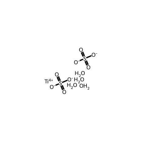 O.O.O.O.O=S(=O)([O-])[O-].O=S(=O)([O-])[O-].[Ti+4]